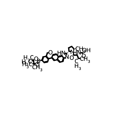 CC(C)C(NC(=O)O)C(=O)N1[C@@H](C)CC[C@H]1c1nc2ccc3cc4c(cc3c2[nH]1)OCc1cc(B2OC(C)(C)C(C)(C)O2)ccc1-4